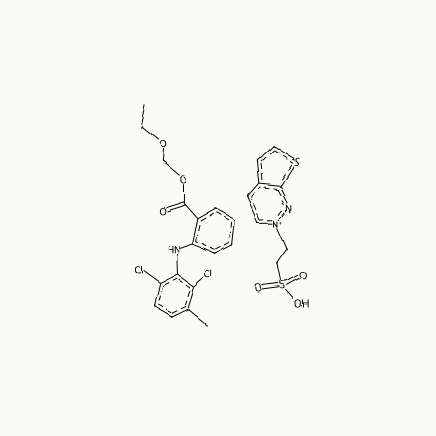 CCOCOC(=O)c1ccccc1Nc1c(Cl)ccc(C)c1Cl.O=S(=O)(O)CC[n+]1ccc2ccsc2n1